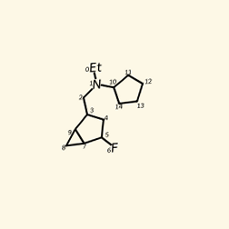 CCN(CC1CC(F)C2CC12)C1CCCC1